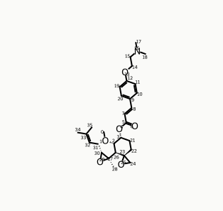 CO[C@@H]1[C@H](OC(=O)/C=C/c2ccc(OCCN(C)C)cc2)CC[C@]2(CO2)[C@H]1[C@@]1(C)O[C@@H]1CC=C(C)C